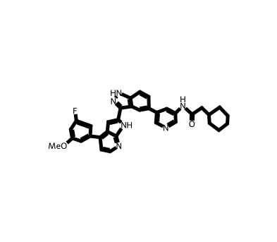 COc1cc(F)cc(-c2ccnc3[nH]c(-c4n[nH]c5ccc(-c6cncc(NC(=O)CC7CCCCC7)c6)cc45)cc23)c1